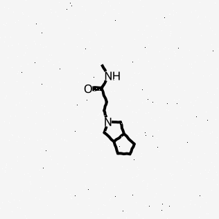 CNC(=O)CCN1CC2CCCC2C1